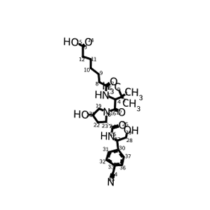 CC(C)(C)C(NC(=O)CCCCCC(=O)O)C(=O)N1C[C@H](O)C[C@H]1C(=O)NC(CO)c1ccc(C#N)cc1